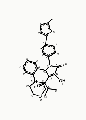 Cc1ccc(-c2ccc(N3C(=O)C(O)=C(C(=O)C(C)C)C3c3ccccc3N3CCOCC3)cc2)o1